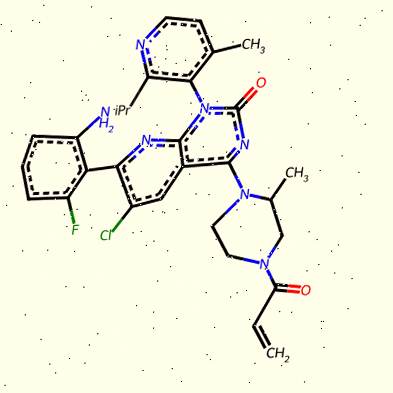 C=CC(=O)N1CCN(c2nc(=O)n(-c3c(C)ccnc3C(C)C)c3nc(-c4c(N)cccc4F)c(Cl)cc23)C(C)C1